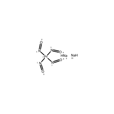 O=[N][Pt]([N]=O)([N]=O)[N]=O.[NaH].[NaH]